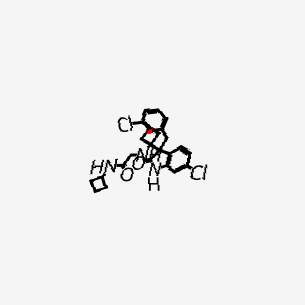 O=C(CNC1(C2(Cc3cccc(Cl)c3)C(=O)Nc3cc(Cl)ccc32)CCC1)NC1CCC1